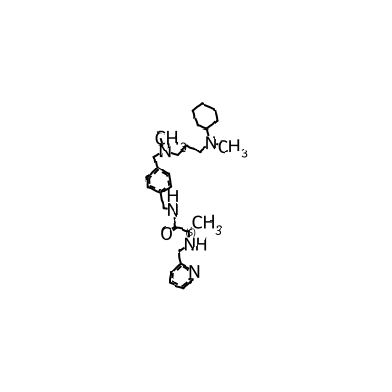 C[C@H](NCc1ccccn1)C(=O)NCc1ccc(CN(C)CCCN(C)C2CCCCC2)cc1